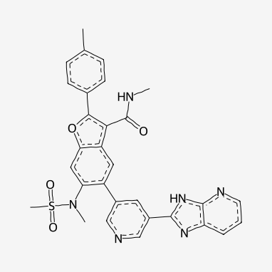 CNC(=O)c1c(-c2ccc(C)cc2)oc2cc(N(C)S(C)(=O)=O)c(-c3cncc(-c4nc5cccnc5[nH]4)c3)cc12